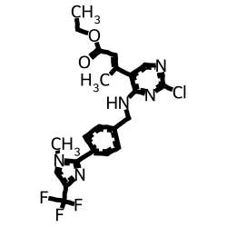 CCOC(=O)/C=C(\C)c1cnc(Cl)nc1NCc1ccc(-c2nc(C(F)(F)F)cn2C)cc1